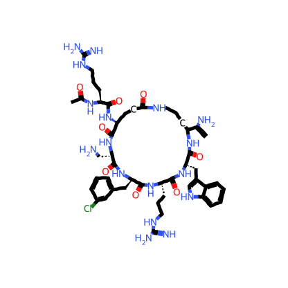 C=C(N)C1CCCNC(=O)CC[C@H](NC(=O)[C@H](CCCNC(=N)N)NC(C)=O)C(=O)N[C@@H](CN)C(=O)N[C@H](Cc2cccc(Cl)c2)C(=O)N[C@@H](CCCNC(=N)N)C(=O)N[C@@H](Cc2c[nH]c3ccccc23)C(=O)N1